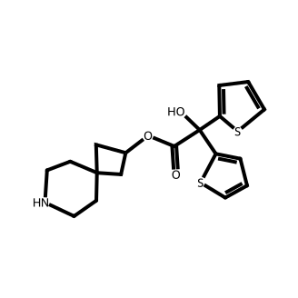 O=C(OC1CC2(CCNCC2)C1)C(O)(c1cccs1)c1cccs1